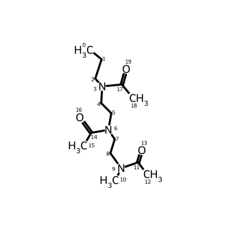 CCCN(CCN(CCN(C)C(C)=O)C(C)=O)C(C)=O